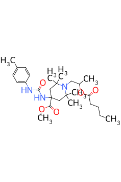 CCCCC(=O)OC(C)CN1C(C)(C)CC(NC(=O)Nc2ccc(C)cc2)(C(=O)OC)CC1(C)C